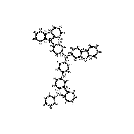 c1ccc(-n2c3ccccc3c3cc(-c4ccc(N(c5ccc6c(c5)oc5ccccc56)c5ccc6c(c5)c5cccc7c8ccccc8n6c75)cc4)ccc32)cc1